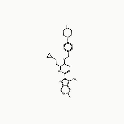 Cc1c(C(=O)N[C@@H](CCC2CC2)C(O)NCc2ccc(N3CCNCC3)cc2)[nH]c2ccc(F)cc12